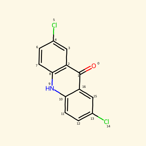 O=c1c2cc(Cl)ccc2[nH]c2ccc(Cl)cc12